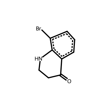 O=C1CCNc2c(Br)cccc21